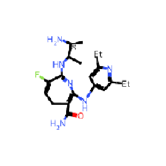 CCc1cc(NC2=C(C(N)=O)CC=C(F)C(NC(C)[C@H](C)N)=N2)cc(CC)n1